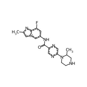 Cc1cn2cc(NC(=O)c3cnc(N4CCNCC4C)cn3)cc(F)c2n1